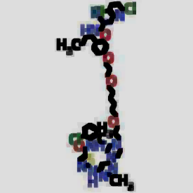 CCCC(NC(=O)/C(C#N)=C/c1nc(Cl)ccc1Cl)c1ccc(OCCCOCCCCCCOCCCN2CCN(c3cc(Nc4ncc(C(=O)Nc5c(C)cccc5Cl)s4)nc(C)n3)CC2)cc1